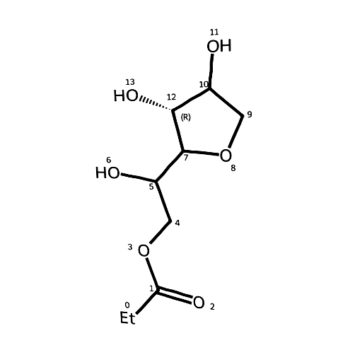 CCC(=O)OCC(O)C1OCC(O)[C@H]1O